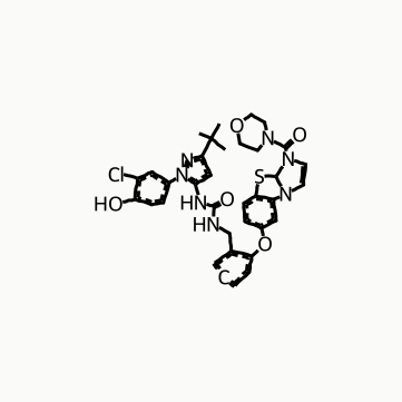 CC(C)(C)c1cc(NC(=O)NCc2ccccc2Oc2ccc3c(c2)N2C=CN(C(=O)N4CCOCC4)C2S3)n(-c2ccc(O)c(Cl)c2)n1